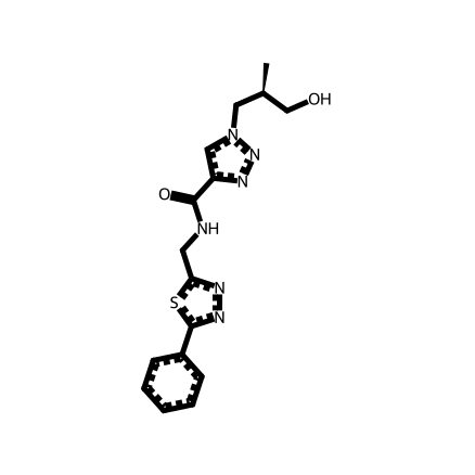 C[C@@H](CO)Cn1cc(C(=O)NCc2nnc(-c3ccccc3)s2)nn1